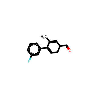 CC1=CC(C=O)CC=C1c1cccc(F)c1